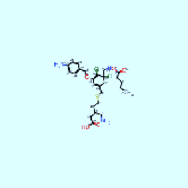 CCCCC(=O)O.NCC(CCSCC1=CC(OCc2ccc(N)cc2)=C(Cl)C(Cl)(CN)C1)CC(=O)O